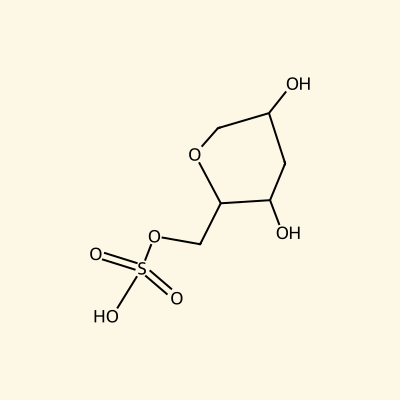 O=S(=O)(O)OCC1OCC(O)CC1O